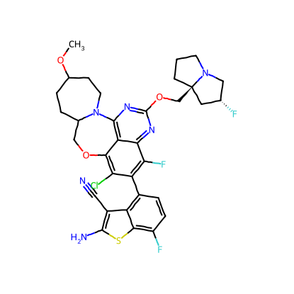 COC1CCC2COc3c(Cl)c(-c4ccc(F)c5sc(N)c(C#N)c45)c(F)c4nc(OC[C@@]56CCCN5C[C@H](F)C6)nc(c34)N2CC1